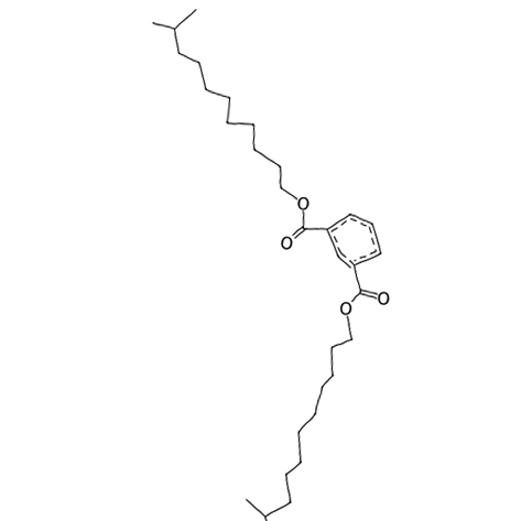 CC(C)CCCCCCCCCOC(=O)c1cccc(C(=O)OCCCCCCCCCC(C)C)c1